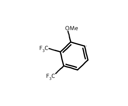 COc1[c]ccc(C(F)(F)F)c1C(F)(F)F